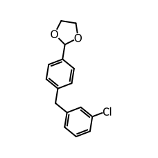 Clc1cccc(Cc2ccc(C3OCCO3)cc2)c1